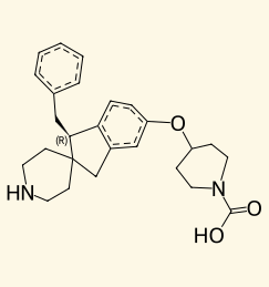 O=C(O)N1CCC(Oc2ccc3c(c2)CC2(CCNCC2)[C@H]3Cc2ccccc2)CC1